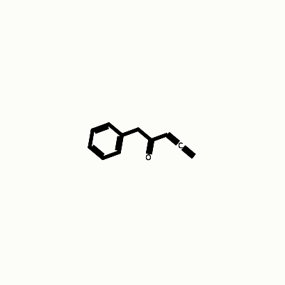 C=C=CC(=O)Cc1ccccc1